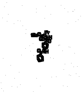 CC(C)[C@H](NS(=O)(=O)c1ccc(NC(=O)c2ccccc2)cc1)C(=O)OC(C)(C)C